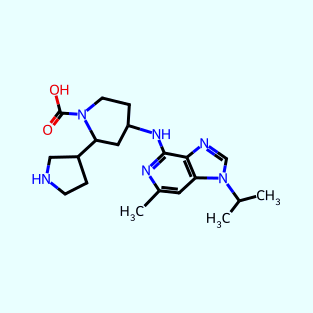 Cc1cc2c(ncn2C(C)C)c(NC2CCN(C(=O)O)C(C3CCNC3)C2)n1